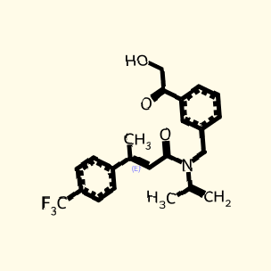 C=C(C)N(Cc1cccc(C(=O)CO)c1)C(=O)/C=C(\C)c1ccc(C(F)(F)F)cc1